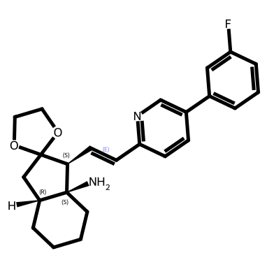 N[C@@]12CCCC[C@@H]1CC1(OCCO1)[C@H]2/C=C/c1ccc(-c2cccc(F)c2)cn1